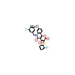 COc1ccc2c3oc(=O)c(Sc4ccccc4F)c(O)c3c(=O)n(Cc3cccc(F)c3)c2c1